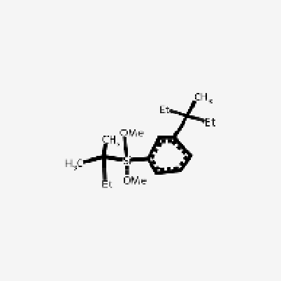 CCC(C)(CC)c1cccc([Si](OC)(OC)C(C)(C)CC)c1